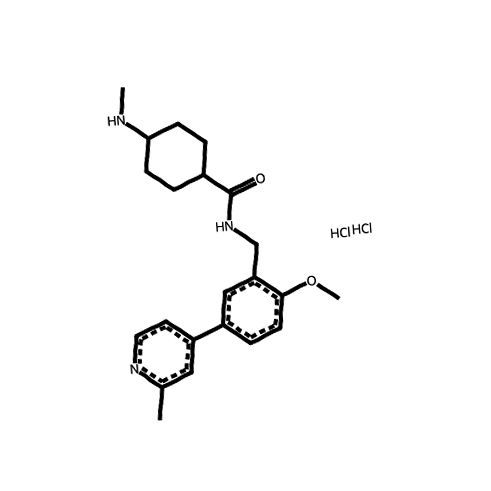 CNC1CCC(C(=O)NCc2cc(-c3ccnc(C)c3)ccc2OC)CC1.Cl.Cl